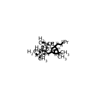 C=C[Si](C)(C)O[Si](C)(CC1CC(C)(CCC(C)C)C2CC1C2(C)C)O[Si](C)(C)C=C